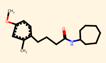 COc1ccc(CCCC(=O)NC2CCCCCC2)c(C)c1